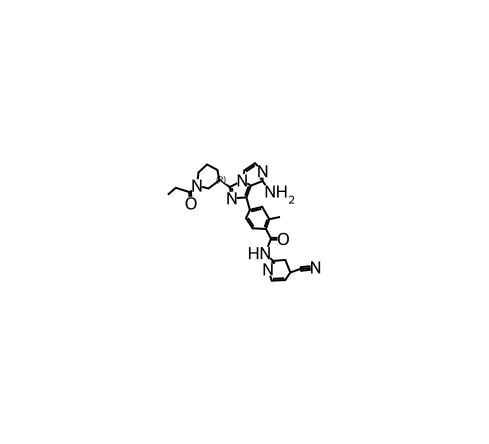 CCC(=O)N1CCC[C@@H](c2nc(-c3ccc(C(=O)NC4=NC=CC(C#N)C4)c(C)c3)c3c(N)nccn23)C1